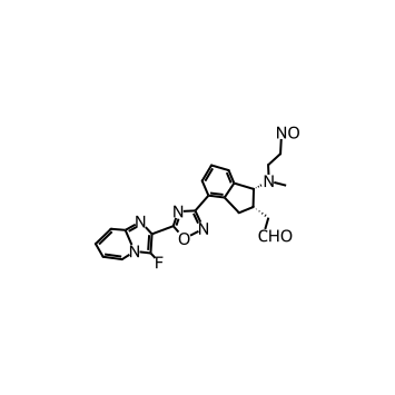 CN(CCN=O)[C@H]1c2cccc(-c3noc(-c4nc5ccccn5c4F)n3)c2C[C@H]1CC=O